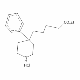 CCOC(=O)CCCCC1(c2ccccc2)CCNCC1.Cl